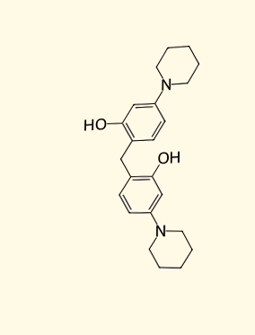 Oc1cc(N2CCCCC2)ccc1Cc1ccc(N2CCCCC2)cc1O